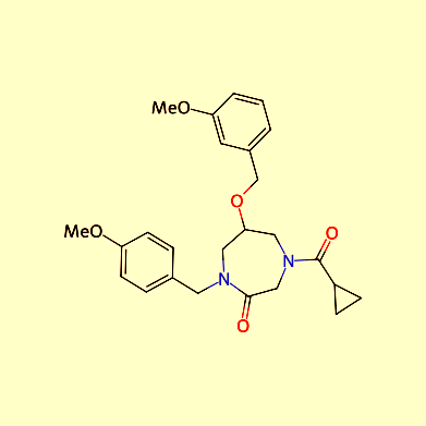 COc1ccc(CN2CC(OCc3cccc(OC)c3)CN(C(=O)C3CC3)CC2=O)cc1